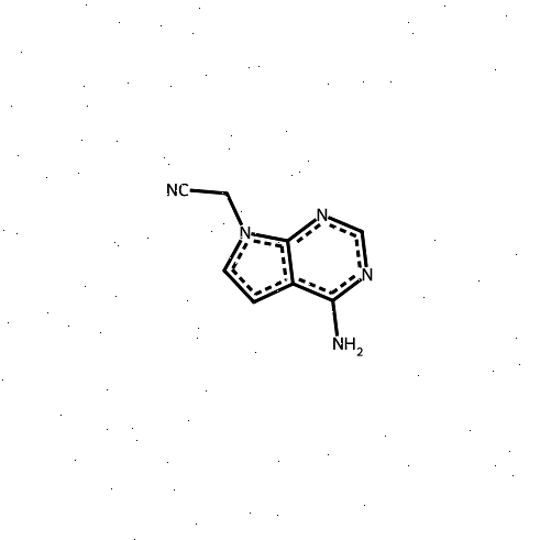 N#CCn1ccc2c(N)ncnc21